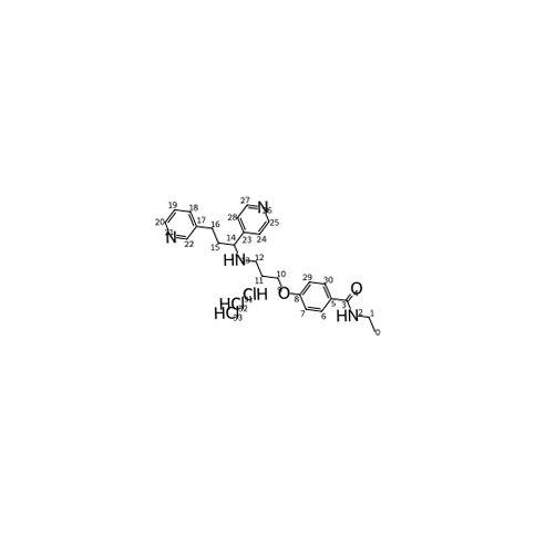 CCNC(=O)c1ccc(OCCCNC(CCc2cccnc2)c2ccncc2)cc1.Cl.Cl.Cl